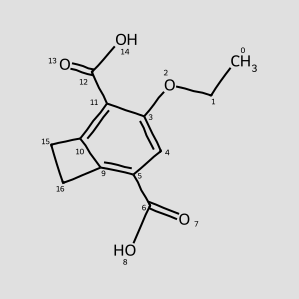 CCOc1cc(C(=O)O)c2c(c1C(=O)O)CC2